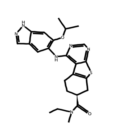 CCN(C)C(=O)[C@H]1CCc2c(sc3ncnc(Nc4cc5cn[nH]c5cc4OC(C)C)c23)C1